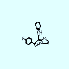 C#Cc1c(-c2ccc(F)cc2)nn2cccnc12.c1ccccc1